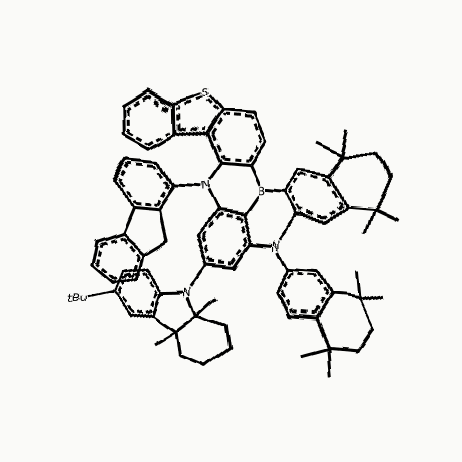 CC(C)(C)c1ccc2c(c1)C1(C)CCCCC1(C)N2c1cc2c3c(c1)N(c1cccc4c1Cc1ccccc1-4)c1c(ccc4sc5ccccc5c14)B3c1cc3c(cc1N2c1ccc2c(c1)C(C)(C)CCC2(C)C)C(C)(C)CCC3(C)C